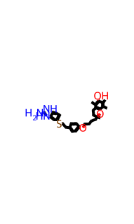 Cc1c(C)c2c(c(C)c1O)CCC(C)(CCCCOc1ccc(CCSc3cccc(NC(=N)N)c3)cc1)O2